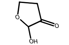 O=C1CCOC1O